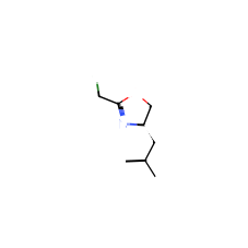 CC(C)C[C@@H]1COC(CCl)=N1